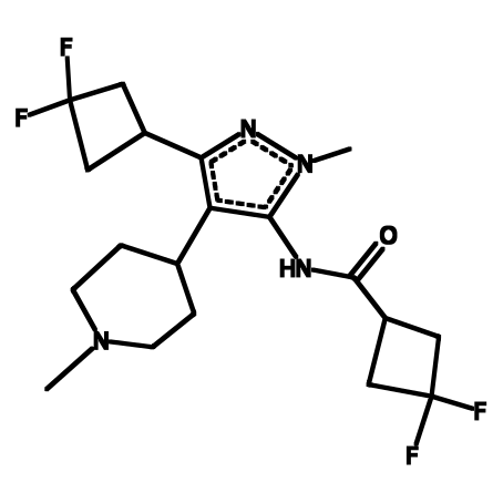 CN1CCC(c2c(C3CC(F)(F)C3)nn(C)c2NC(=O)C2CC(F)(F)C2)CC1